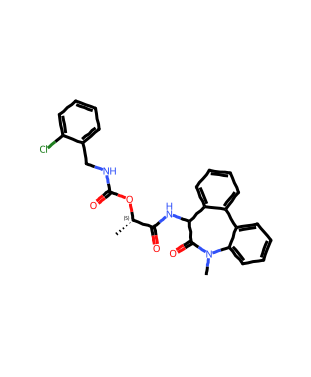 C[C@H](OC(=O)NCc1ccccc1Cl)C(=O)NC1C(=O)N(C)c2ccccc2-c2ccccc21